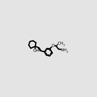 C[C@@H](CN)Oc1cccc(C=CC2(O)CCCCC2)c1